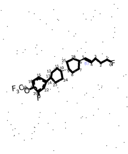 FCCC/C=C/[C@H]1CC[C@H](C2CCC(c3ccc(OC(F)(F)F)c(F)c3)CC2)CC1